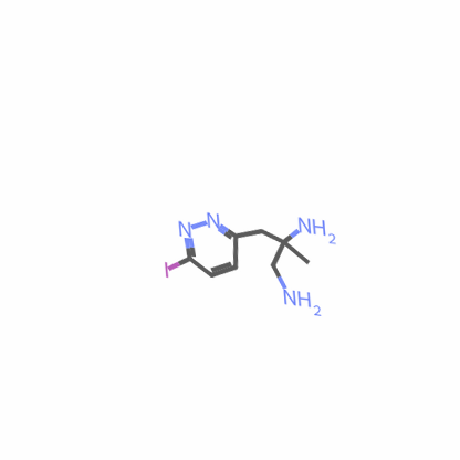 CC(N)(CN)Cc1ccc(I)nn1